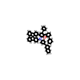 c1ccc(-c2cccc3c2oc2c(N(c4ccc(-c5ccc6ccccc6c5)cc4)c4ccc5c(c4)C4(c6ccccc6-c6ccccc64)c4ccccc4-5)ccc(-c4ccccc4)c23)cc1